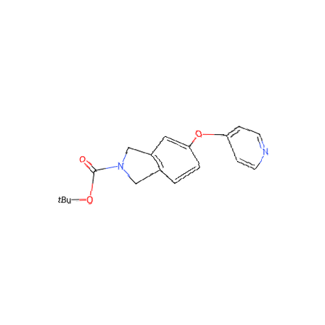 CC(C)(C)OC(=O)N1Cc2ccc(Oc3ccncc3)cc2C1